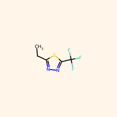 CCc1nnc(C(F)(F)F)s1